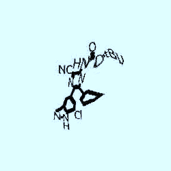 CC(C)(C)OC(=O)Nc1nc(-c2ccccc2)c(-c2cc(Cl)c3[nH]ncc3c2)nc1C#N